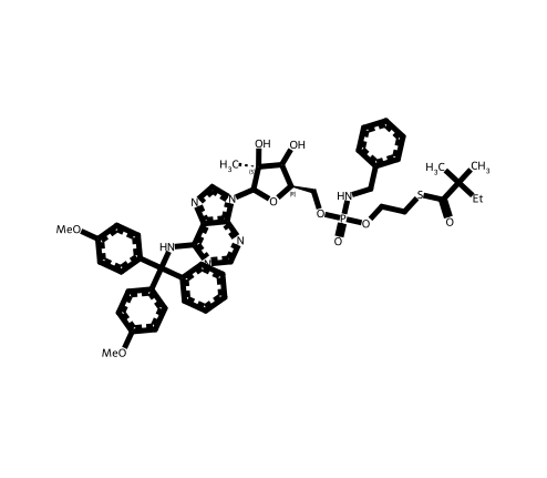 CCC(C)(C)C(=O)SCCOP(=O)(NCc1ccccc1)OC[C@H]1OC(n2cnc3c(NC(c4ccccc4)(c4ccc(OC)cc4)c4ccc(OC)cc4)ncnc32)[C@@](C)(O)C1O